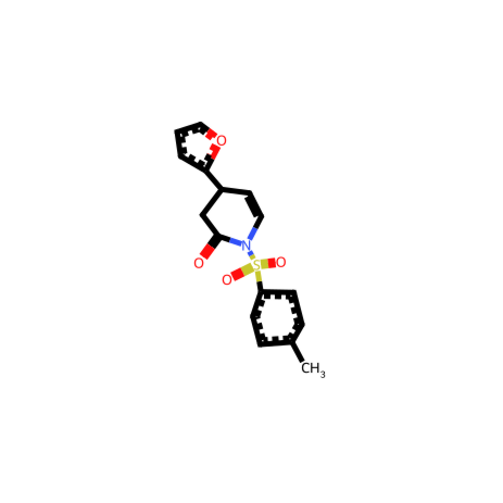 Cc1ccc(S(=O)(=O)N2C=CC(c3ccco3)CC2=O)cc1